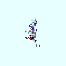 C=C(C)[C@@H]1CCC(C)=C[C@H]1c1c(O)cc(CCCCC)cc1O/C=C/C(=O)Nc1cc2c(Nc3ccc(F)c(Cl)c3)ncnc2cc1OC